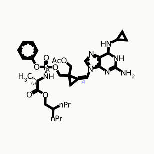 CCCC(CCC)COC(=O)[C@H](C)N[P@](=O)(OCC1(COC(C)=O)C/C1=C/n1cnc2c1N=C(N)NC2NC1CC1)Oc1ccccc1